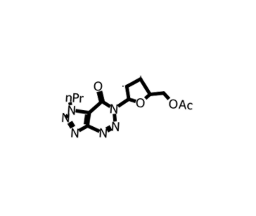 CCCn1nnc2nnn(C3[CH][CH]C(COC(C)=O)O3)c(=O)c21